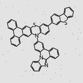 c1ccc2c(c1)nc1c3ccccc3c3cc(N4c5ccc(-c6ccc7c(c6)sc6ccccc67)cc5Sc5cc6c7ccccc7c7ccccc7c6cc54)ccc3n21